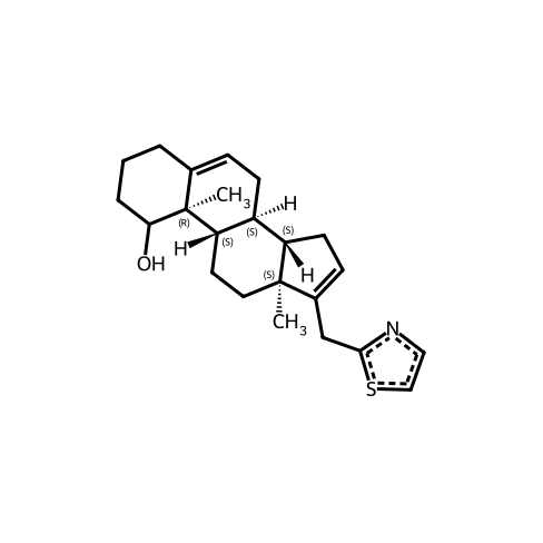 C[C@]12CC[C@H]3[C@@H](CC=C4CCCC(O)[C@@]43C)[C@@H]1CC=C2Cc1nccs1